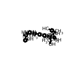 C#Cc1ccc([C@H](C)NC(=O)[C@@H]2C[C@@H](O)CN2C(=O)[C@@H](NC(=O)N2CCC(N3CCC(c4cnc(N5CCc6[nH]c7nnc(-c8ccccc8O)cc7c6[C@H]5C)nc4)CC3)CC2)C(C)(C)CCO)cc1